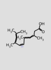 CC(C)=C=C(C)/C=C\C(C)=C=C(C)CC(=O)O